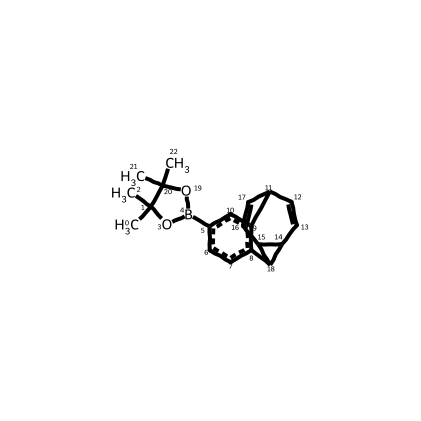 CC1(C)OB(c2ccc3c(c2)C2C=CC4C(C=C2)C34)OC1(C)C